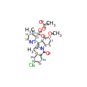 COc1ccc2c(c1)c(-c1nccc(C)c1C(=O)OOC(C)=O)c(C)n2C(=O)c1ccc(Cl)cc1